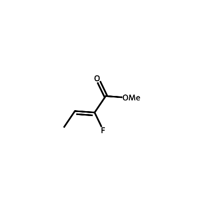 C/C=C(\F)C(=O)OC